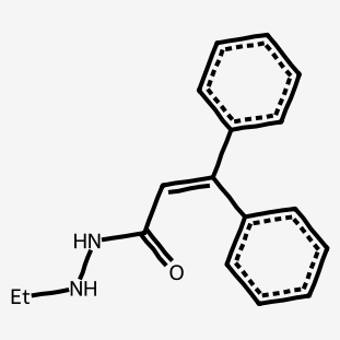 CCNNC(=O)C=C(c1ccccc1)c1ccccc1